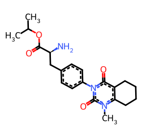 CC(C)OC(=O)[C@@H](N)Cc1ccc(-n2c(=O)c3c(n(C)c2=O)CCCC3)cc1